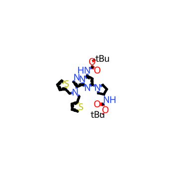 CC(C)(C)OC(=O)Nc1cc(N2CC[C@H](NC(=O)OC(C)(C)C)C2)nc2c(N(Cc3cccs3)Cc3cccs3)cnn12